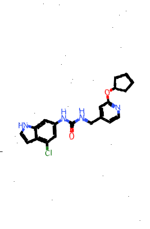 O=C(NCc1ccnc(OC2CCCC2)c1)Nc1cc(Cl)c2cc[nH]c2c1